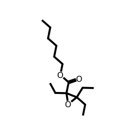 CCCCCCOC(=O)C1(CC)OC1(CC)CC